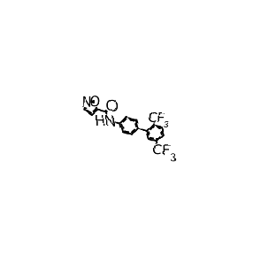 O=C(Nc1ccc(-c2cc(C(F)(F)F)ccc2C(F)(F)F)cc1)c1ccno1